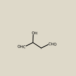 O=C[CH]C(O)C=O